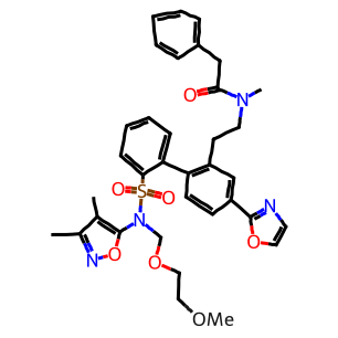 COCCOCN(c1onc(C)c1C)S(=O)(=O)c1ccccc1-c1ccc(-c2ncco2)cc1CCN(C)C(=O)Cc1ccccc1